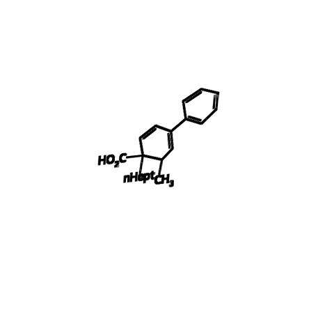 CCCCCCCC1(C(=O)O)C=CC(c2ccccc2)=CC1C